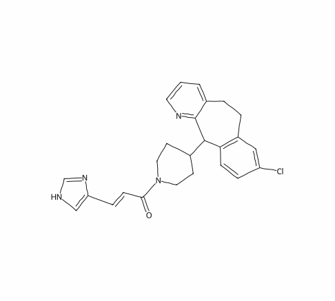 O=C(C=Cc1c[nH]cn1)N1CCC(C2c3ccc(Cl)cc3CCc3cccnc32)CC1